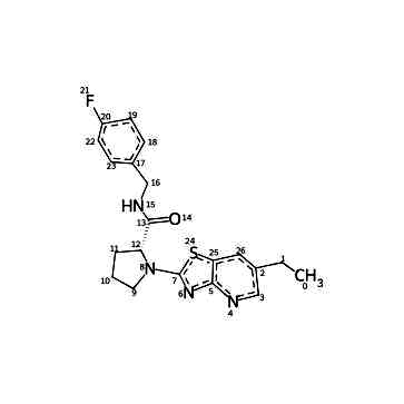 CCc1cnc2nc(N3CCC[C@@H]3C(=O)NCc3ccc(F)cc3)sc2c1